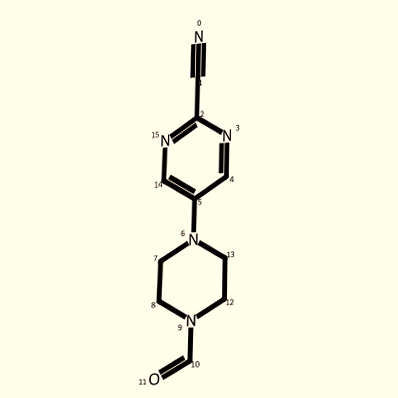 N#Cc1ncc(N2CCN(C=O)CC2)cn1